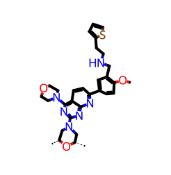 COc1ccc(-c2ccc3c(N4CCOCC4)nc(N4C[C@@H](C)O[C@@H](C)C4)nc3n2)cc1CNCCc1cccs1